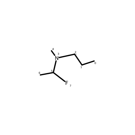 CC[CH]N(C)C(C)F